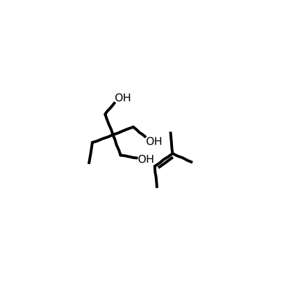 CC=C(C)C.CCC(CO)(CO)CO